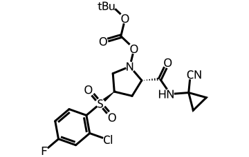 CC(C)(C)OC(=O)ON1C[C@H](S(=O)(=O)c2ccc(F)cc2Cl)C[C@H]1C(=O)NC1(C#N)CC1